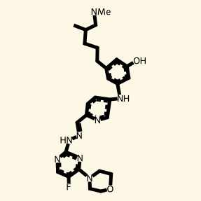 CNCC(C)CCCc1cc(O)cc(Nc2ccc(/C=N/Nc3ncc(F)c(N4CCOCC4)n3)nc2)c1